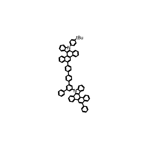 CC(C)(C)c1ccc(-n2c3ccccc3c3c4c5ccccc5c(-c5ccc(-c6ccc(-c7cc(-c8ccccc8)cc(-n8c9ccccc9c9c%10c%11ccccc%11c(-c%11ccccc%11)cc%10c%10ccccc%10c98)c7)cc6)cc5)cc4c4ccccc4c32)cc1